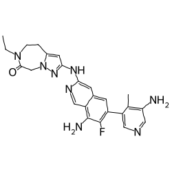 CCN1CCc2cc(Nc3cc4cc(-c5cncc(N)c5C)c(F)c(N)c4cn3)nn2CC1=O